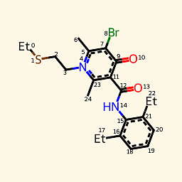 CCSCCn1c(C)c(Br)c(=O)c(C(=O)Nc2c(CC)cccc2CC)c1C